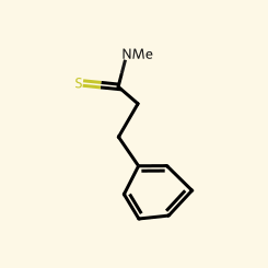 CNC(=S)CCc1ccccc1